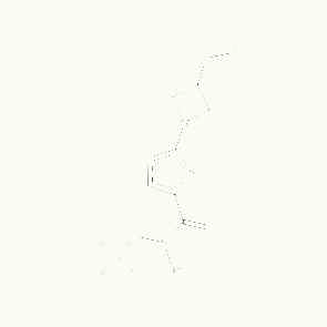 CC(=O)SC1CN(c2nc(C(=O)N(O[Si](C)(C)C(C)(C)C)C(C)C)cs2)C1